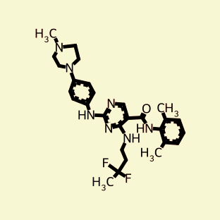 Cc1cccc(C)c1NC(=O)c1cnc(Nc2ccc(N3CCN(C)CC3)cc2)nc1NCCC(C)(F)F